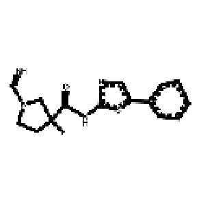 CC1(C(=O)Nc2ncc(-c3ccccc3)s2)CCN(C=N)C1